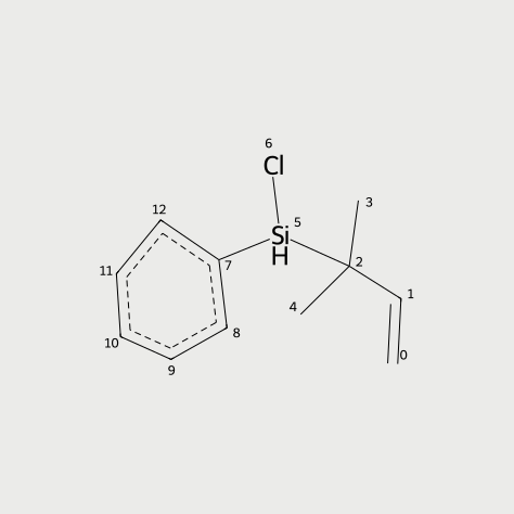 C=CC(C)(C)[SiH](Cl)c1ccccc1